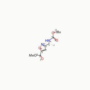 COC(=O)c1cc([C@@H](C)NC(=O)OC(C)(C)C)no1